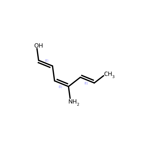 C/C=C/C(N)=C\C=C\O